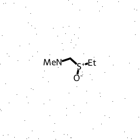 CC[S+]([O-])CNC